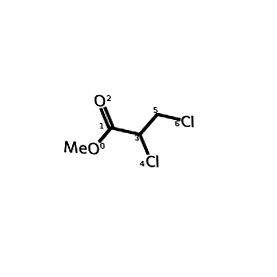 COC(=O)C(Cl)CCl